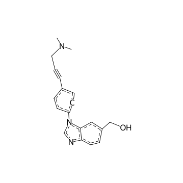 CN(C)CC#Cc1ccc(-n2cnc3ccc(CO)cc32)cc1